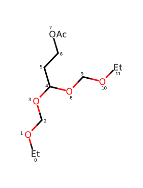 CCOCOC(CCOC(C)=O)OCOCC